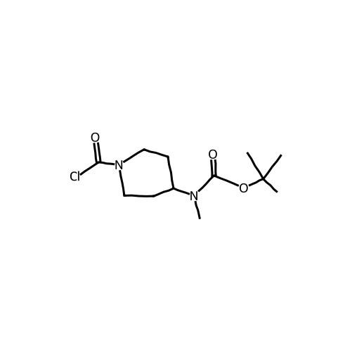 CN(C(=O)OC(C)(C)C)C1CCN(C(=O)Cl)CC1